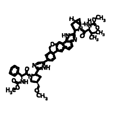 COC[C@H]1CC(c2ncc(-c3ccc4c(c3)COc3cc5c(ccc6nc(C7C[C@H]8C[C@H]8N7C(=O)[C@@H](NC(=O)OC)C(C)C)[nH]c65)cc3-4)[nH]2)N(C(=O)[C@H](NC(=O)OC)c2ccccc2)C1